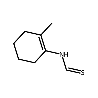 CC1=C(NC=S)CCCC1